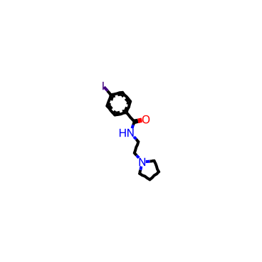 O=C(NCCN1CCCC1)c1ccc(I)cc1